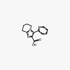 O=C(O)c1nc2n(c1-c1ccccn1)CCCC2